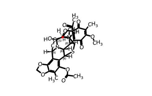 COC1=C(C)C(=O)C2=C(C1=O)[C@@H]1[C@@H]3[C@@H]4SCC(NC(C)=O)C(=O)OC[C@@H](c5c6c(c(C)c(OC(C)=O)c54)OCO6)N3[C@@H](O)[C@@H](C2)N1C